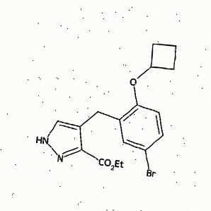 CCOC(=O)c1n[nH]cc1Cc1cc(Br)ccc1OC1CCC1